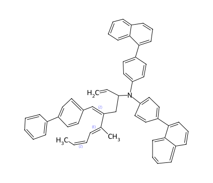 C=CC(CC(=C/c1ccc(-c2ccccc2)cc1)/C(C)=C/C=C\C)N(c1ccc(-c2cccc3ccccc23)cc1)c1ccc(-c2cccc3ccccc23)cc1